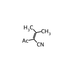 CC(=O)C(C#N)=C(C)C